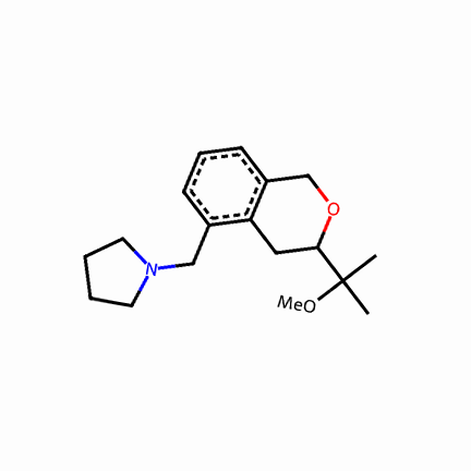 COC(C)(C)C1Cc2c(cccc2CN2CCCC2)CO1